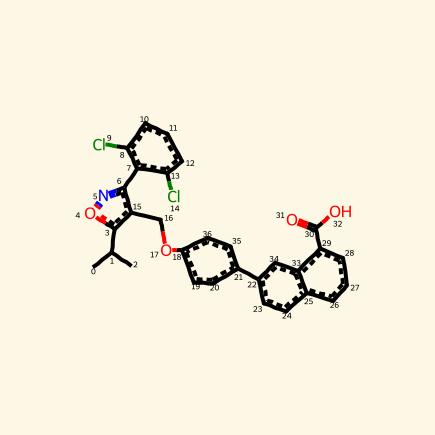 CC(C)c1onc(-c2c(Cl)cccc2Cl)c1COc1ccc(-c2ccc3cccc(C(=O)O)c3c2)cc1